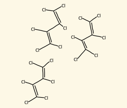 ClC(Cl)=C(Cl)C(Cl)=C(Cl)Cl.ClC(Cl)=C(Cl)C(Cl)=C(Cl)Cl.ClC(Cl)=C(Cl)C(Cl)=C(Cl)Cl